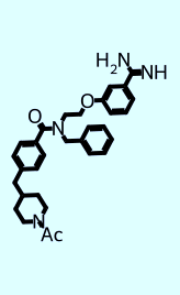 CC(=O)N1CCC(Cc2ccc(C(=O)N(CCOc3cccc(C(=N)N)c3)Cc3ccccc3)cc2)CC1